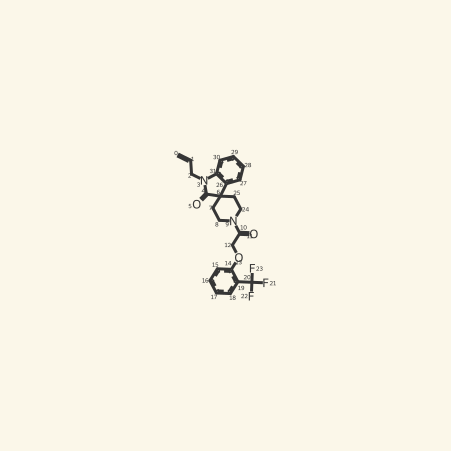 C=CCN1C(=O)C2(CCN(C(=O)COc3ccccc3C(F)(F)F)CC2)c2ccccc21